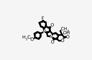 CC[C@@]1(O)C(=O)OCc2c1cc1n(c2=O)Cc2c-1c(=O)c1cc(F)ccc1n2-c1ccc(OC)cc1